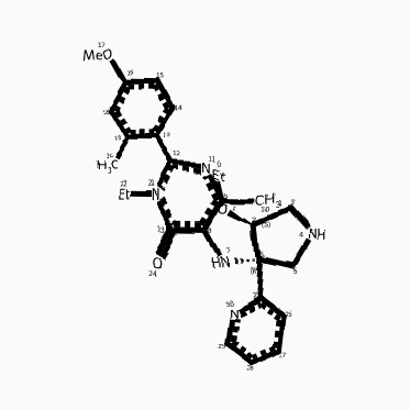 CCO[C@H]1CNC[C@@]1(Nc1c(C)nc(-c2ccc(OC)cc2C)n(CC)c1=O)c1ccccn1